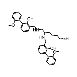 COc1ccccc1-c1cccc(CNCC(CCCCS)NCc2cccc(-c3ccccc3OC)c2O)c1O